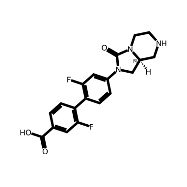 O=C(O)c1ccc(-c2ccc(N3C[C@@H]4CNCCN4C3=O)cc2F)c(F)c1